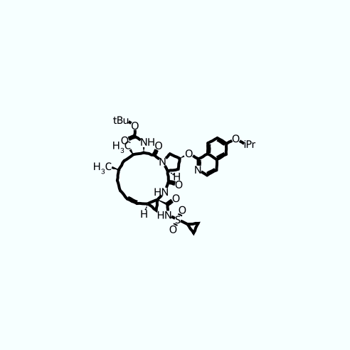 CC(C)Oc1ccc2c(O[C@@H]3C[C@H]4C(=O)N[C@]5(C(=O)NS(=O)(=O)C6CC6)C[C@H]5/C=C\CC[C@@H](C)C[C@@H](C)[C@H](NC(=O)OC(C)(C)C)C(=O)N4C3)nccc2c1